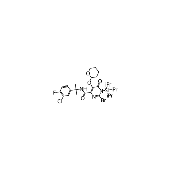 CC(C)[Si](C(C)C)(C(C)C)n1c(Br)nc(C(=O)NC(C)(C)c2ccc(F)c(Cl)c2)c(OC2CCCCO2)c1=O